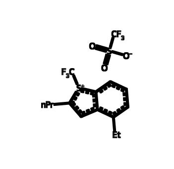 CCCc1cc2c(CC)cccc2[s+]1C(F)(F)F.O=S(=O)([O-])C(F)(F)F